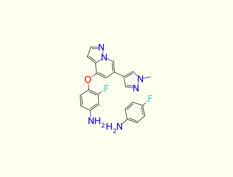 Cn1cc(-c2cc(Oc3ccc(N)cc3F)c3ccnn3c2)cn1.Nc1ccc(F)cc1